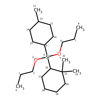 CCCO[Si](OCCC)(C1CCC(C)CC1)C1CCCCC1(C)C